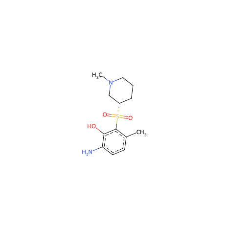 Cc1ccc(N)c(O)c1S(=O)(=O)[C@H]1CCCN(C)C1